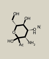 CC(=O)C1(O)O[C@H](CO)[C@@H](O)[C@H](O)[C@@H]1N.[N]